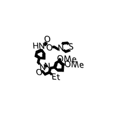 CCC1CC(=O)N(Cc2ccc(NC(=O)OCCN3CCSCC3)cc2)N=C1c1ccc(OC)c(OC)c1